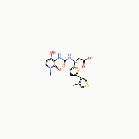 Cc1cscc1-c1ccc([C@H](CC(=O)O)NC(=O)Nc2c(O)ccn(C)c2=O)s1